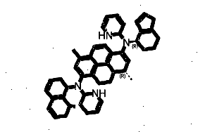 Cc1cc(N(C2CCC=CN2)C2CC=CC3=C2C(C)CC=C3)c2c3c4c(ccc13)C(N(C1C=CC=CN1)[C@@H]1CCCC3=C1C=CC3)=C[C@H](C)C4CC2